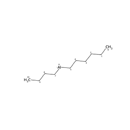 CCCCC[CH2][Al][CH2]CCC